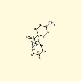 CN1CCC(C(=O)N2C3CCC2CNC3)CC1